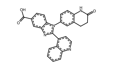 O=C1CCc2cc(-n3c(-c4ccnc5ccccc45)nc4cc(C(=O)O)ccc43)ccc2N1